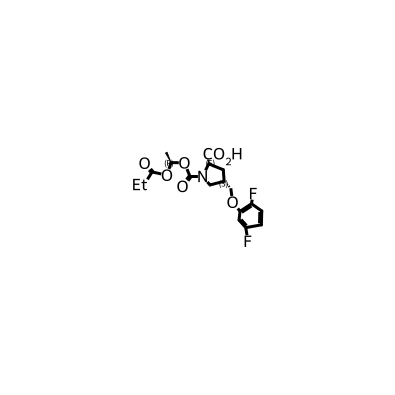 CCC(=O)O[C@@H](C)OC(=O)N1C[C@@H](COc2cc(F)ccc2F)C[C@H]1C(=O)O